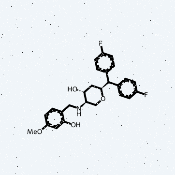 COc1ccc(CN[C@@H]2CO[C@H](C(c3ccc(F)cc3)c3ccc(F)cc3)C[C@H]2O)c(O)c1